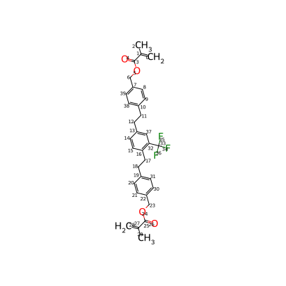 C=C(C)C(=O)OCc1ccc(CCc2ccc(CCc3ccc(COC(=O)C(=C)C)cc3)c(C(F)(F)F)c2)cc1